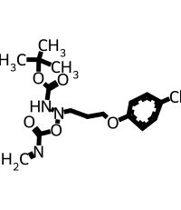 C=NC(=O)ON(CCCOc1ccc(Cl)cc1)NC(=O)OC(C)(C)C